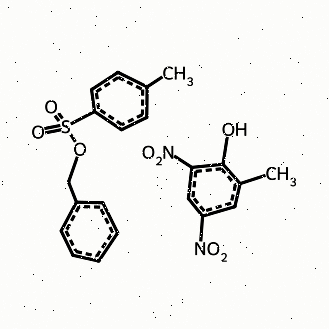 Cc1cc([N+](=O)[O-])cc([N+](=O)[O-])c1O.Cc1ccc(S(=O)(=O)OCc2ccccc2)cc1